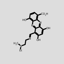 CCN(C)CCN=Cc1c(O)cc(O)c2nc3c(C(=O)O)ccc(O)c3nc12